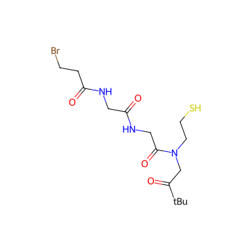 CC(C)(C)C(=O)CN(CCS)C(=O)CNC(=O)CNC(=O)CCBr